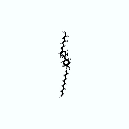 CCCCCCCCCC=COc1ccc(-c2ncc(CCCCCCC)cn2)cc1